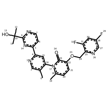 Cc1cnc(-c2ccnc(C(C)(C)O)n2)cc1-n1c(C)ccc(OCc2ncc(F)cc2F)c1=O